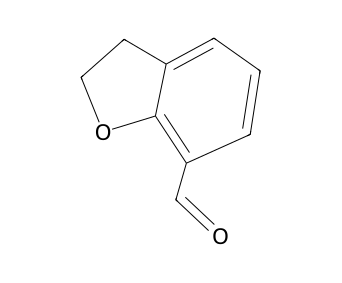 O=Cc1cccc2c1OCC2